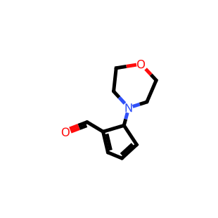 O=CC1=CC=CC1N1CCOCC1